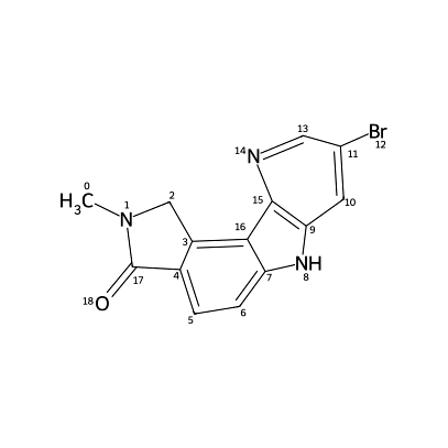 CN1Cc2c(ccc3[nH]c4cc(Br)cnc4c23)C1=O